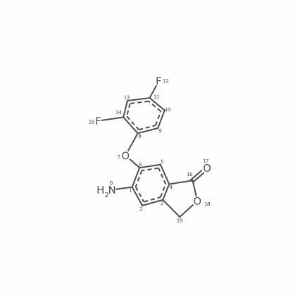 Nc1cc2c(cc1Oc1ccc(F)cc1F)C(=O)OC2